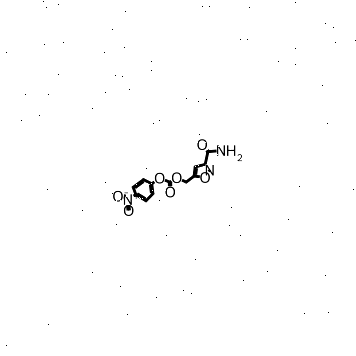 NC(=O)c1cc(COC(=O)Oc2ccc([N+](=O)[O-])cc2)on1